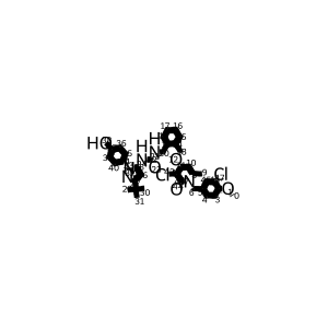 COc1ccc(Cn2c(C)cc(OCc3ccccc3CNC(=O)Nc3cc(C(C)(C)C)nn3-c3ccc(O)cc3)c(Cl)c2=O)cc1Cl